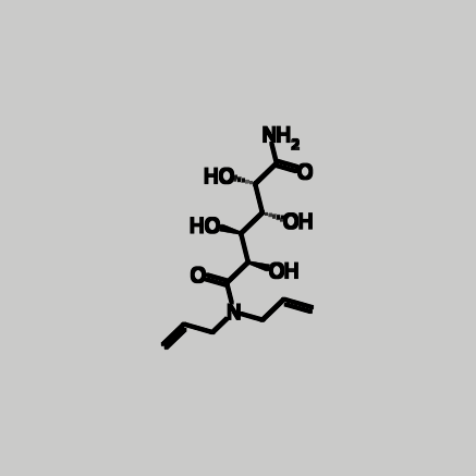 C=CCN(CC=C)C(=O)[C@H](O)[C@@H](O)[C@@H](O)[C@H](O)C(N)=O